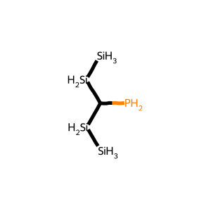 [SiH3][SiH2]C(P)[SiH2][SiH3]